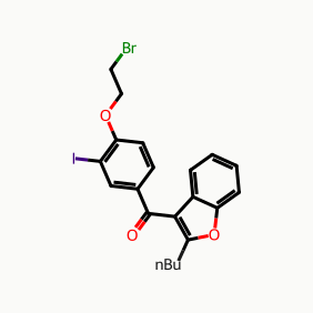 CCCCc1oc2ccccc2c1C(=O)c1ccc(OCCBr)c(I)c1